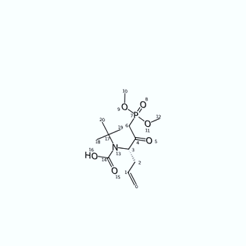 C=CC[C@@H](C(=O)CP(=O)(OC)OC)N(C(=O)O)C(C)(C)C